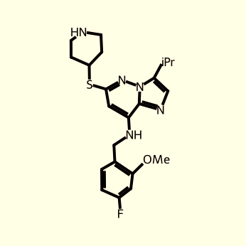 COc1cc(F)ccc1CNc1cc(SC2CCNCC2)nn2c(C(C)C)cnc12